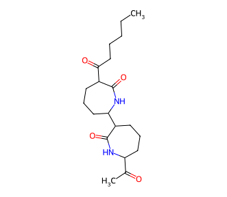 CCCCCC(=O)C1CCCC(C2CCCC(C(C)=O)NC2=O)NC1=O